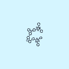 c1ccc(-c2nc(-c3ccccc3)nc(-c3ccc(-n4c5ccccc5c5cc(-c6ccc7oc8cccc(-c9cccc(-c%10nc(-c%11ccccc%11)nc(-c%11ccccc%11)n%10)c9)c8c7c6)ccc54)cc3)n2)cc1